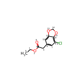 CCOC(=O)Cc1cc(Cl)c2c(c1)OCO2